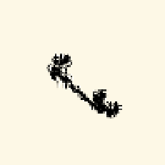 CNC(=O)CCC(C=O)N1C(=O)c2cccc(OCC(=O)NCCOCCOCCCCCOc3ccc(-c4cc(C(F)(F)F)nn4C)c(O)c3-c3ccc(Cl)c(C(F)(F)F)c3)c2C1=O